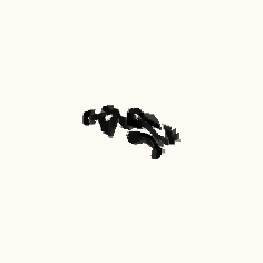 CN(C)/C=C(\C1=NCCN1Cc1ccc(Cl)nc1)[N+](=O)[O-]